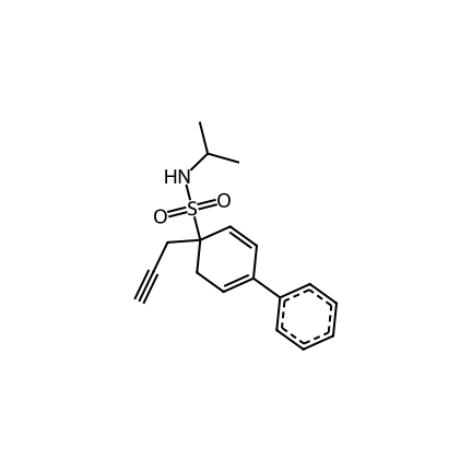 C#CCC1(S(=O)(=O)NC(C)C)C=CC(c2ccccc2)=CC1